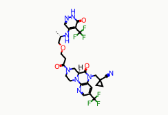 C[C@@H](COCCC(=O)N1CCN2c3ncc(C(F)(F)F)cc3N(CC3(C#N)CC3)C(=O)[C@@H]2C1)Nc1cn[nH]c(=O)c1C(F)(F)F